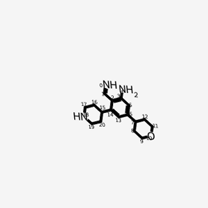 N=Cc1c(N)cc(C2CCOCC2)cc1C1CCNCC1